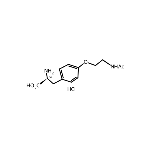 CC(=O)NCCOc1ccc(C[C@H](N)C(=O)O)cc1.Cl